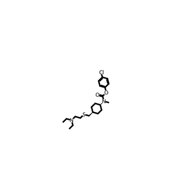 CCN(CC)CCSC[C@H]1CC[C@H](N(C)C(=O)Oc2ccc(Cl)cc2)CC1